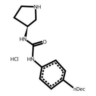 CCCCCCCCCCc1ccc(NC(=O)N[C@H]2CCNC2)cc1.Cl